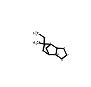 CCC1(C)CC2CC1C1CCCC21